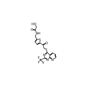 O=C(CO)NCc1ccc(C(=O)CSc2nc(C(F)(F)F)nc3ncccc23)s1